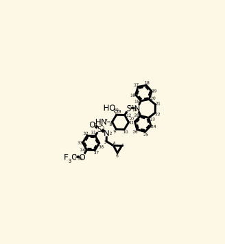 O=S(=NCC1CC1)(N[C@H]1CCCC(SN2c3ccccc3CCc3ccccc32)[C@H]1O)c1ccc(OC(F)(F)F)cc1